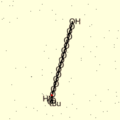 CC(C)(C)OC(=O)NCCOCCOCCOCCOCCOCCOCCOCCOCCOCCOCCOCCOCCOCCOCCOCCO